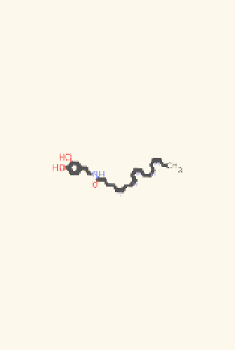 CC/C=C\C/C=C\C/C=C\C/C=C\C/C=C\CCCC(=O)NCCc1ccc(O)c(O)c1